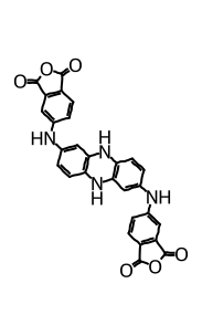 O=C1OC(=O)c2cc(Nc3ccc4c(c3)Nc3ccc(Nc5ccc6c(c5)C(=O)OC6=O)cc3N4)ccc21